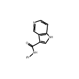 CC(C)NC(=O)c1c[nH]c2ccncc12